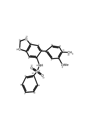 COc1cc(-c2cc3c(cc2NS(=O)(=O)c2ccccc2)OCO3)ccc1C